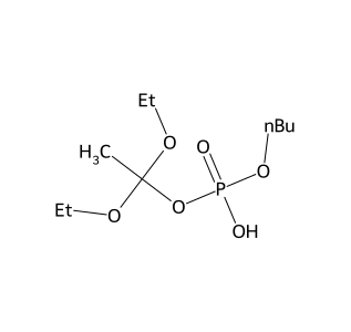 CCCCOP(=O)(O)OC(C)(OCC)OCC